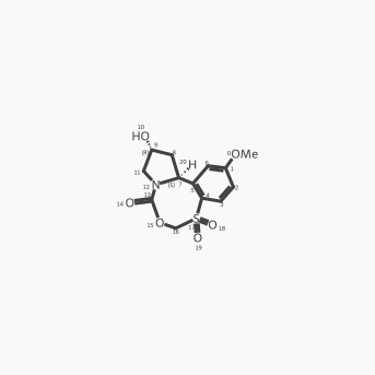 COc1ccc2c(c1)[C@@H]1C[C@@H](O)CN1C(=O)OCS2(=O)=O